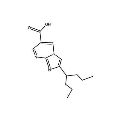 CCCC(CCC)c1cn2cc(C(=O)O)cnc2n1